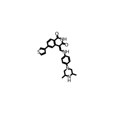 CC1CN(c2ccc(NC=C3C(=O)NC(=O)c4ccc(-c5ccsc5)cc43)cc2)CC(C)N1